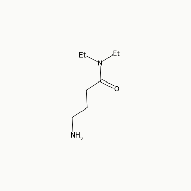 CCN(CC)C(=O)CCCN